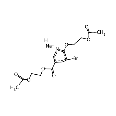 CC(=O)OCCOC(=O)c1cnc(OCCOC(C)=O)c(Br)c1.[H-].[Na+]